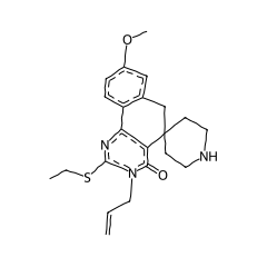 C=CCn1c(SCC)nc2c(c1=O)C1(CCNCC1)Cc1cc(OC)ccc1-2